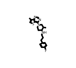 Cc1csc2c(N3CCC(NCCCc4ccc(F)cc4)C(C)C3)ncnc12